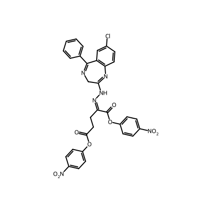 O=C(CC/C(=N/NC1=Nc2ccc(Cl)cc2C(c2ccccc2)=NC1)C(=O)Oc1ccc([N+](=O)[O-])cc1)Oc1ccc([N+](=O)[O-])cc1